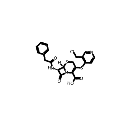 O=C(Cc1ccccc1)N[C@@H]1C(=O)N2C(C(=O)O)=C(Sc3ccncc3CCl)CS[C@@H]12